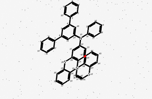 c1ccc(-c2cc(-c3ccccc3)cc(N(c3ccccc3)c3ccc4c(c3)Sc3ccccc3[Si]43c4ccccc4Sc4ccccc43)c2)cc1